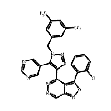 FC(F)(F)c1cc(Cn2nnc(-c3nncc4noc(-c5ccccc5Cl)c34)c2-c2cncnc2)cc(C(F)(F)F)c1